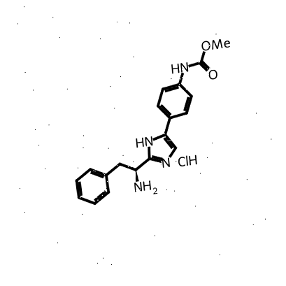 COC(=O)Nc1ccc(-c2cnc([C@@H](N)Cc3ccccc3)[nH]2)cc1.Cl